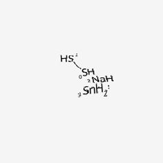 SS.[NaH].[SnH2]